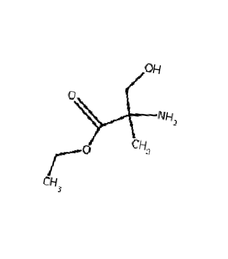 CCOC(=O)C(C)(N)CO